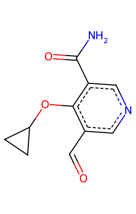 NC(=O)c1cncc(C=O)c1OC1CC1